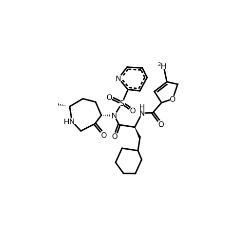 [2H]C1=CC(C(=O)N[C@@H](CC2CCCCC2)C(=O)N([C@H]2CC[C@@H](C)NCC2=O)S(=O)(=O)c2ccccn2)OC1